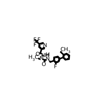 CCc1ccccc1-c1ccc(CNC(=O)N(CC)NC(=O)c2cncc(C(F)(F)F)c2)c(F)c1